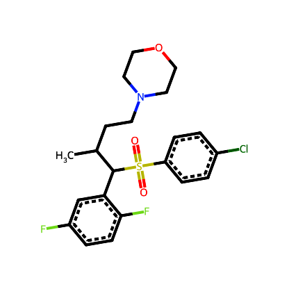 CC(CCN1CCOCC1)C(c1cc(F)ccc1F)S(=O)(=O)c1ccc(Cl)cc1